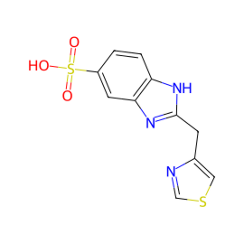 O=S(=O)(O)c1ccc2[nH]c(Cc3cscn3)nc2c1